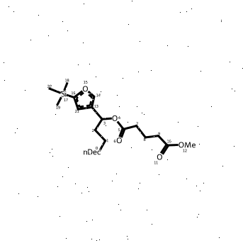 CCCCCCCCCCCCC(OC(=O)CCCC(=O)OC)c1coc([Si](C)(C)C)c1